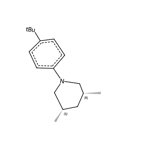 C[C@@H]1C[C@H](C)CN(c2ccc(C(C)(C)C)cc2)C1